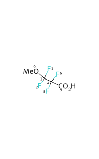 COC(F)(F)C(F)(F)C(=O)O